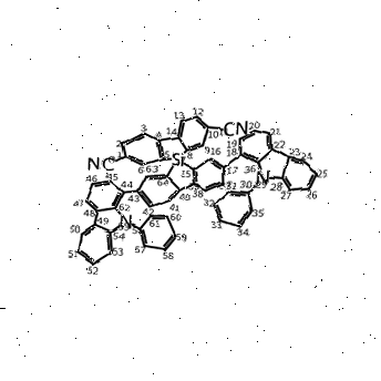 N#Cc1ccc2c(c1)[Si]1(c3cc(C#N)ccc3-2)c2cc(-c3cccc4c5ccccc5n(-c5ccccc5)c34)ccc2-c2ccc(-c3cccc4c5ccccc5n(-c5ccccc5)c34)cc21